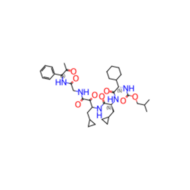 CC(=O)[C@@H](NC(=O)CNC(=O)C(=O)C(CC1CC1)NC(=O)[C@H](CC1CC1)NC(=O)[C@@H](NC(=O)OCC(C)C)C1CCCCC1)c1ccccc1